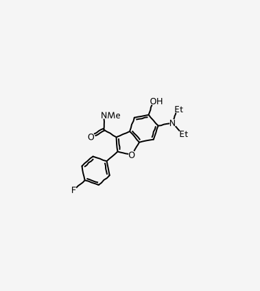 CCN(CC)c1cc2oc(-c3ccc(F)cc3)c(C(=O)NC)c2cc1O